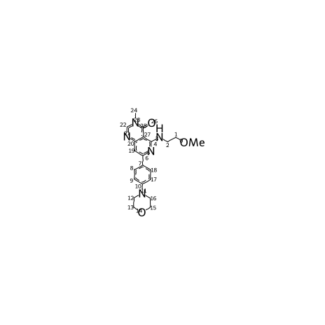 COCCNc1nc(-c2ccc(N3CCOCC3)cc2)cc2ncn(C)c(=O)c12